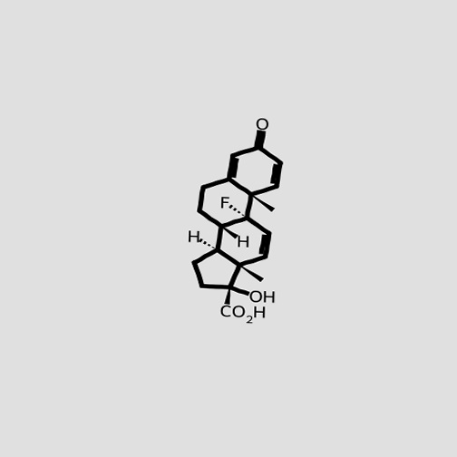 C[C@]12C=CC(=O)C=C1CC[C@H]1[C@@H]3CC[C@](O)(C(=O)O)[C@@]3(C)C=C[C@@]12F